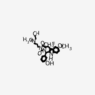 C#CCN(C)CCCN1C(=O)N2C(c3cccc(O)c3)c3[nH]c4ccc(OC)c(F)c4c3CC2(C)C1=O